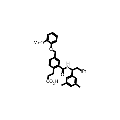 COc1ccccc1OCc1ccc(CCC(=O)O)c(C(=O)NC(CC(C)C)c2cc(C)cc(C)c2)c1